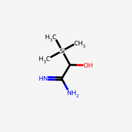 C[Si](C)(C)C(O)C(=N)N